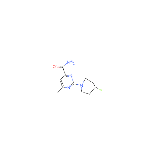 Cc1cc(C(N)=O)nc(N2CCC(F)CC2)n1